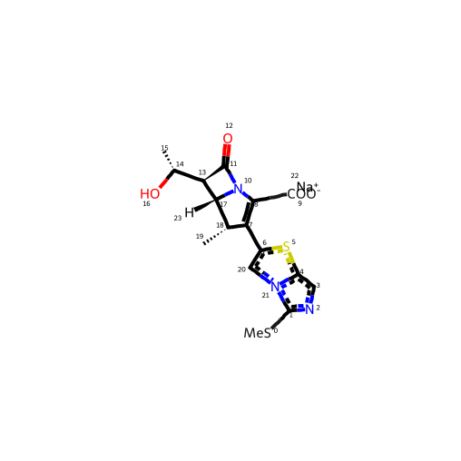 CSc1ncc2sc(C3=C(C(=O)[O-])N4C(=O)[C@H]([C@@H](C)O)[C@H]4[C@H]3C)cn12.[Na+]